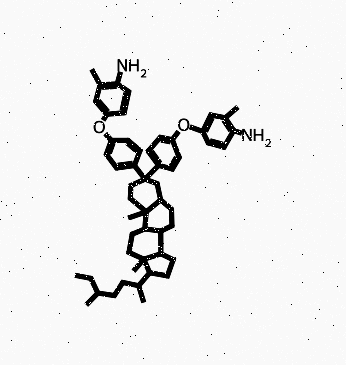 CCC(C)CCC(C)C1CCC2C3CCC4CC(c5ccc(Oc6ccc(N)c(C)c6)cc5)(c5ccc(Oc6ccc(N)c(C)c6)cc5)CCC4(C)C3CCC12C